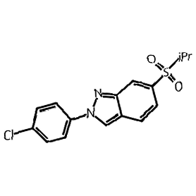 CC(C)S(=O)(=O)c1ccc2cn(-c3ccc(Cl)cc3)nc2c1